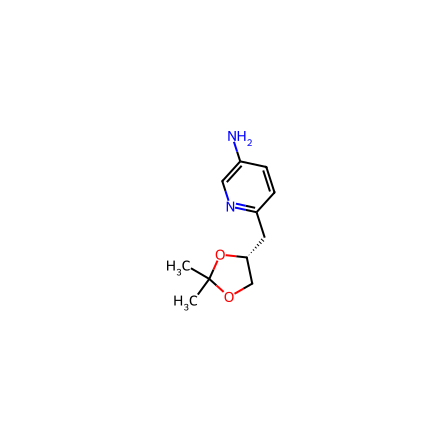 CC1(C)OC[C@@H](Cc2ccc(N)cn2)O1